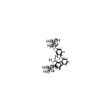 C.Cc1ccccc1.Cc1ccccc1.Cc1ccccc1.O=P(O)(O)O.O=P(O)(O)O